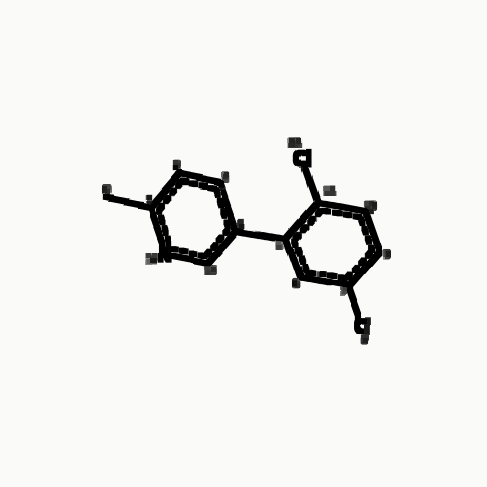 Cc1ccc(-c2cc(Cl)c[c]c2Cl)cn1